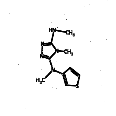 CNc1nnc(N(C)c2ccsc2)n1C